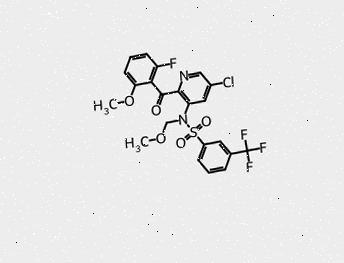 COCN(c1cc(Cl)cnc1C(=O)c1c(F)cccc1OC)S(=O)(=O)c1cccc(C(F)(F)F)c1